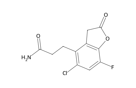 NC(=O)CCc1c(Cl)cc(F)c2c1CC(=O)O2